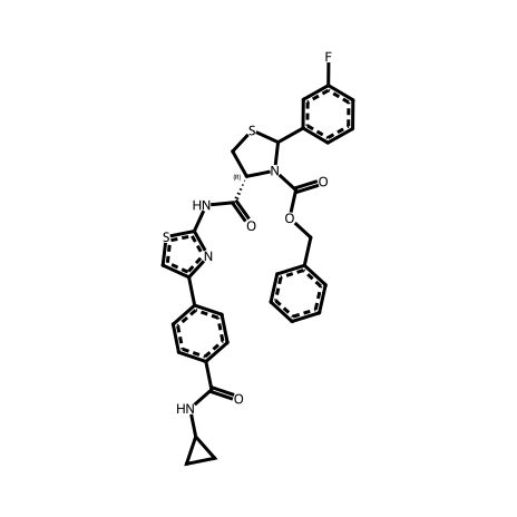 O=C(NC1CC1)c1ccc(-c2csc(NC(=O)[C@@H]3CSC(c4cccc(F)c4)N3C(=O)OCc3ccccc3)n2)cc1